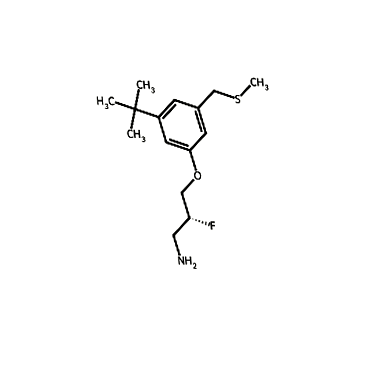 CSCc1cc(OC[C@H](F)CN)cc(C(C)(C)C)c1